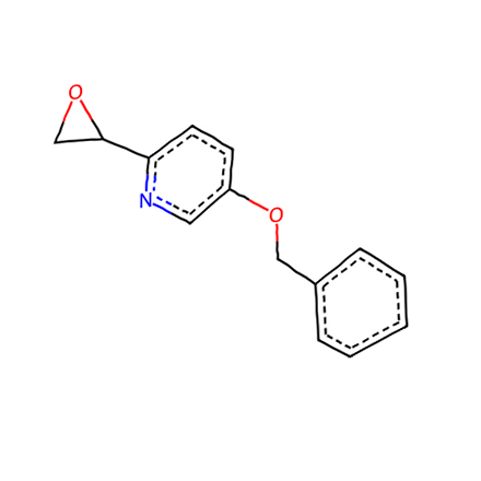 c1ccc(COc2ccc(C3CO3)nc2)cc1